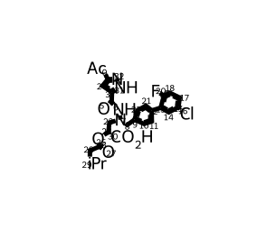 CC(=O)c1cc(C(=O)NN(Cc2ccc(-c3cc(Cl)ccc3F)cc2)C[C@@H](OC(=O)CC(C)C)C(=O)O)[nH]n1